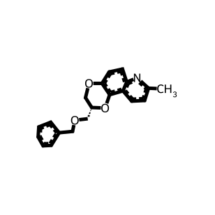 Cc1ccc2c3c(ccc2n1)OC[C@@H](COCc1ccccc1)O3